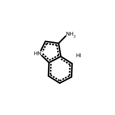 I.Nc1c[nH]c2ccccc12